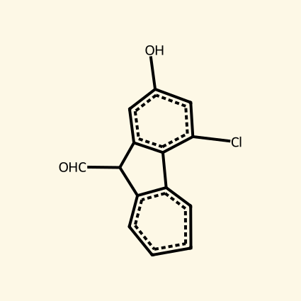 O=CC1c2ccccc2-c2c(Cl)cc(O)cc21